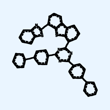 c1ccc(-c2ccc(-c3nc(-c4ccc(-c5ccccc5)cc4)nc(-c4cccc5c4sc4c(-c6nc7ccccc7s6)cccc45)n3)cc2)cc1